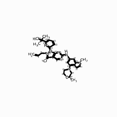 C=CCn1c(=O)c2cnc(Nc3cc(N4CCO[C@@H](C)C4)c4ccn(C)c4c3)nc2n1-c1cccc(C(C)(C)O)n1